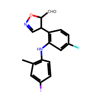 Cc1cc(I)ccc1Nc1cc(F)ccc1C1C=NOC1C=O